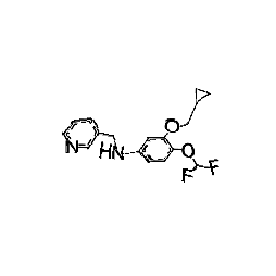 FC(F)Oc1ccc(NCc2cccnc2)cc1OCC1CC1